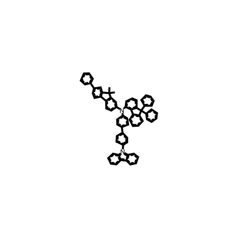 CC1(C)c2cc(-c3ccccc3)ccc2-c2ccc(N(c3ccc(-c4ccc(-n5c6ccccc6c6ccccc65)cc4)cc3)c3cccc4c3-c3ccccc3C4(c3ccccc3)c3ccccc3)cc21